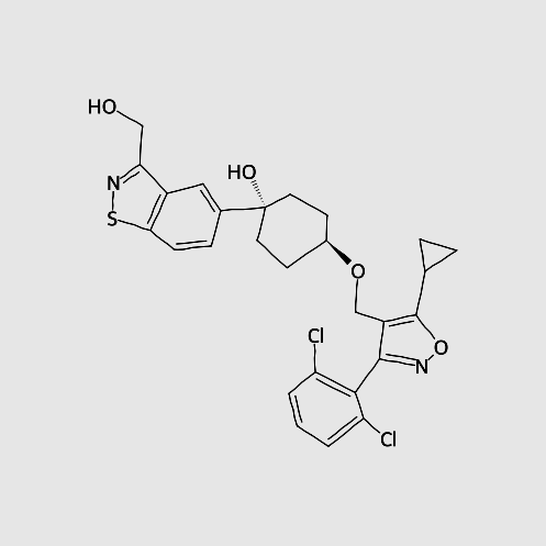 OCc1nsc2ccc([C@]3(O)CC[C@H](OCc4c(-c5c(Cl)cccc5Cl)noc4C4CC4)CC3)cc12